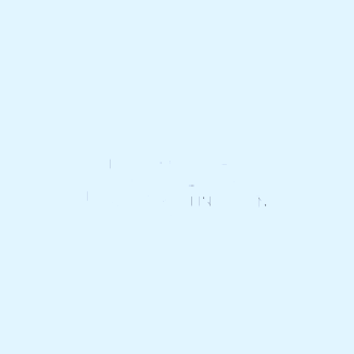 CCOC(=O)/C(=C/Nc1ccncc1F)C(=O)c1cc(F)c(F)cc1F